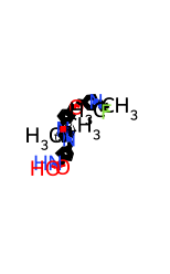 C[C@@H]1CN(Cc2ccc(C(=O)NO)cc2)C[C@H](C)N1Cc1ccc(COCC2CCN(CC(C)(C)F)CC2)cc1